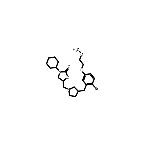 COCCOc1ccc(Br)c(CC2CCN(CC3CN(C4CCCCC4)C(=O)O3)C2)c1